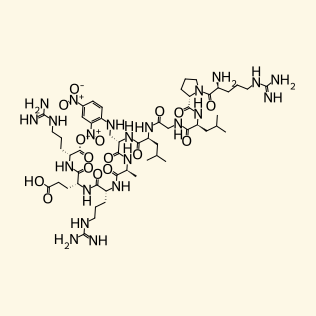 CC(C)C[C@H](NC(=O)CNC(=O)[C@H](CC(C)C)NC(=O)[C@@H]1CCCN1C(=O)[C@@H](N)CCCNC(=N)N)C(=O)N[C@@H](CNc1ccc([N+](=O)[O-])cc1[N+](=O)[O-])C(=O)N[C@@H](C)C(=O)N[C@H](CCCNC(=N)N)C(=O)N[C@H](CCC(=O)O)C(=O)N[C@@H]([C]=O)CCCNC(=N)N